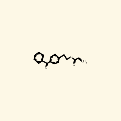 C=CC(=O)OCCc1ccc(C(=O)c2ccccc2)cc1